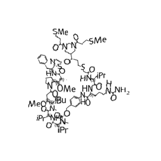 CC[C@H](C)[C@@H]([C@@H](CC(=O)N1CCC[C@H]1[C@H](OC)[C@@H](C)C(=O)N[C@@H](Cc1ccccc1)c1nccs1)OC)N(C)C(=O)[C@@H](NC(=O)[C@H](C(C)C)N(C)C(=O)OCc1ccc(NC(=O)[C@H](CCCNC(N)=O)NC(=O)[C@@H](NC(=O)CSCCC(=O)C2CN(C(=O)CCSC)CN(C(=O)CCSC)C2)C(C)C)cc1)C(C)C